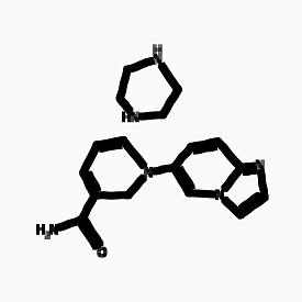 C1CNCCN1.NC(=O)C1=CC=CN(c2ccc3nccn3c2)C1